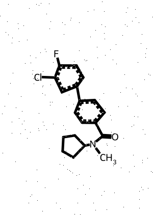 CN(C(=O)c1ccc(-c2ccc(F)c(Cl)c2)cc1)C1CCCC1